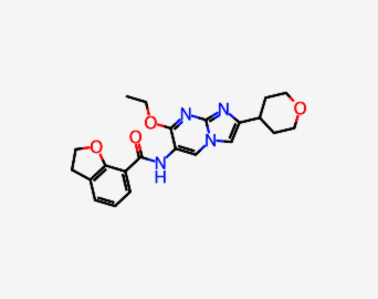 CCOc1nc2nc(C3CCOCC3)cn2cc1NC(=O)c1cccc2c1OCC2